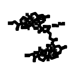 C[C@]12C[C@H](O)[C@H]3[C@@H](CCC4=CC(=O)CC(OC(=O)CCC(=O)OP(=O)(O)OC5CC(=O)C=C6CC[C@@H]7[C@H]([C@@H](O)C[C@@]8(C)[C@H]7CC[C@]8(O)C(=O)CO)[C@]65C)[C@@]43C)[C@@H]1CC[C@]2(O)C(=O)CO.[NaH].[NaH]